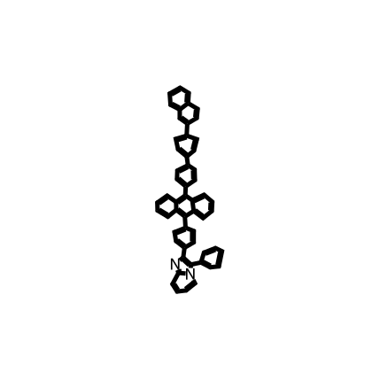 c1ccc(-c2c(-c3ccc(-c4c5ccccc5c(-c5ccc(-c6ccc(-c7ccc8ccccc8c7)cc6)cc5)c5ccccc45)cc3)nc3ccccn23)cc1